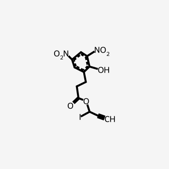 C#CC(I)OC(=O)CCc1cc([N+](=O)[O-])cc([N+](=O)[O-])c1O